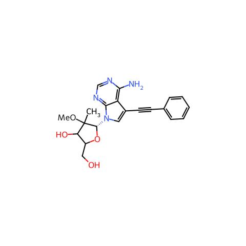 COC1(C)C(O)C(CO)O[C@H]1n1cc(C#Cc2ccccc2)c2c(N)ncnc21